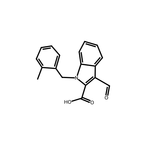 Cc1ccccc1Cn1c(C(=O)O)c(C=O)c2ccccc21